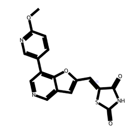 COc1ccc(-c2cncc3cc(/C=C4\SC(=O)NC4=O)oc23)cn1